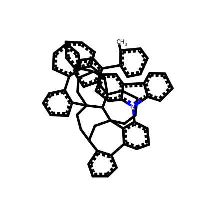 Cc1ccccc1-c1ccccc1C12CCCCC34CC(CCC5(CCC(C1)c1ccccc1-c1ccccc15)C23)c1ccccc1-c1cccc(-n2c3ccccc3c3cc(-c5ccccc5)ccc32)c14